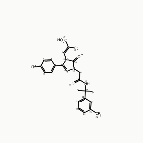 CC/C(=C\n1c(-c2ccc(Cl)cc2)nn(CC(=O)NC(C)(C)c2cccc(C(F)(F)F)c2)c1=O)C(=O)O